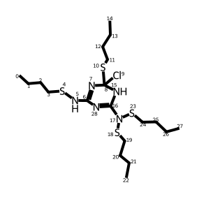 CCCCSNC1=NC(Cl)(SCCCC)NC(N(SCCCC)SCCCC)=N1